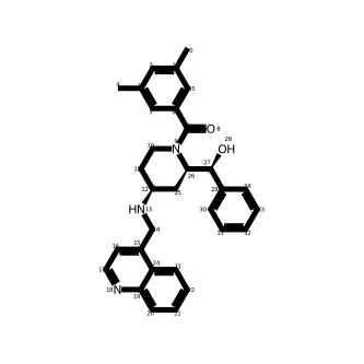 Cc1cc(C)cc(C(=O)N2CC[C@H](NCc3ccnc4ccccc34)C[C@@H]2[C@@H](O)c2ccccc2)c1